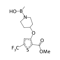 COC(=O)c1sc(C(F)(F)F)cc1OC1CCN(B(C)O)CC1